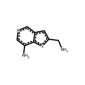 NCc1cc2cncc(N)c2s1